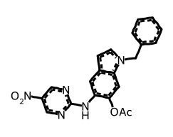 CC(=O)Oc1cc2c(ccn2Cc2ccccc2)cc1Nc1ncc([N+](=O)[O-])cn1